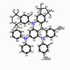 Cc1cc(C(C)(C)C)ccc1N1c2ccc(C(C)(C)C)cc2B2c3cc4c(cc3N(c3cc5c(cc3C)C(C)(C)CCC5(C)C)c3cc(N(c5ccccc5)c5ccccc5)cc1c32)C(C)(C)CC4(C)C